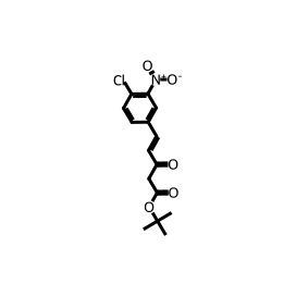 CC(C)(C)OC(=O)CC(=O)C=Cc1ccc(Cl)c([N+](=O)[O-])c1